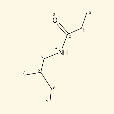 C[CH]C(=O)NCC(C)CC